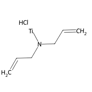 C=CC[N]([Ti])CC=C.Cl